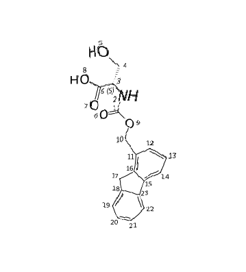 O=C(N[C@@H](CO)C(=O)O)OCc1cccc2c1Cc1ccccc1-2